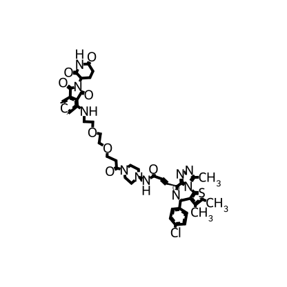 Cc1sc2c(c1C)C(c1ccc(Cl)cc1)=N[C@@H](C#CC(=O)NN1CCN(C(=O)CCOCCOCCNc3cccc4c3C(=O)N(C3CCC(=O)NC3=O)C4=O)CC1)c1nnc(C)n1-2